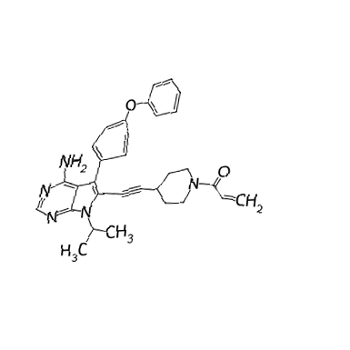 C=CC(=O)N1CCC(C#Cc2c(-c3ccc(Oc4ccccc4)cc3)c3c(N)ncnc3n2C(C)C)CC1